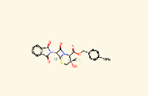 COc1ccc(COC(=O)C2N3C(=O)C(N4C(=O)c5ccccc5C4=O)[C@@H]3SC[C@@]2(C)O)cc1